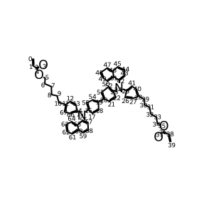 C=CC(=O)OCCCCCCc1ccc(N(c2ccc(-c3ccc(N(c4ccc(CCCCCCOC(=O)C=C)cc4)c4cccc5ccccc45)cc3)cc2)c2cccc3ccccc23)cc1